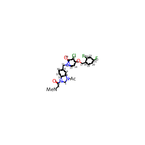 CNCC(=O)N1CN(C(C)=O)c2cc(Cn3ccc(OCc4ccc(F)cc4F)c(Cl)c3=O)ccc21